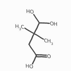 CC(C)(CC(=O)O)C(O)O